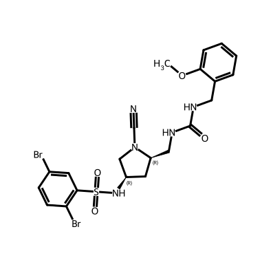 COc1ccccc1CNC(=O)NC[C@H]1C[C@@H](NS(=O)(=O)c2cc(Br)ccc2Br)CN1C#N